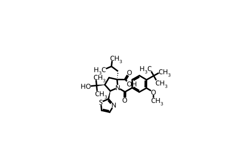 COc1cc(C(=O)N2[C@@H](c3nccs3)[C@@H](C(C)(C)O)C[C@@]2(CC(C)C)C(=O)O)ccc1C(C)(C)C